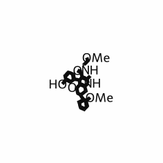 COCCNC(=O)C1=C(C)NC2=C(C(=O)CC(c3ccccc3OC)C2)C1c1cccc(O)c1